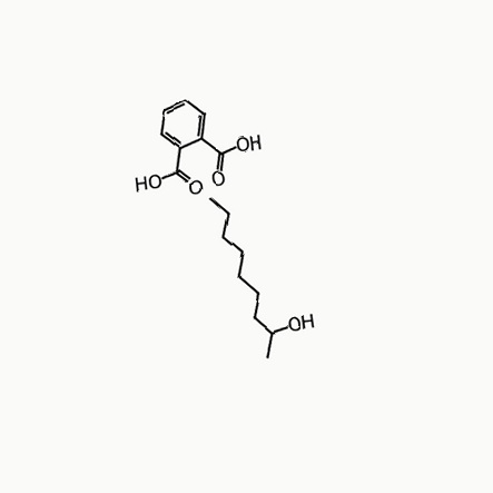 CCCCCCCC(C)O.O=C(O)c1ccccc1C(=O)O